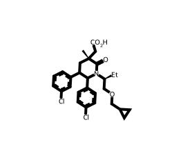 CC[C@@H](COCC1CC1)N1C(=O)[C@@](C)(CC(=O)O)CC(c2cccc(Cl)c2)C1c1ccc(Cl)cc1